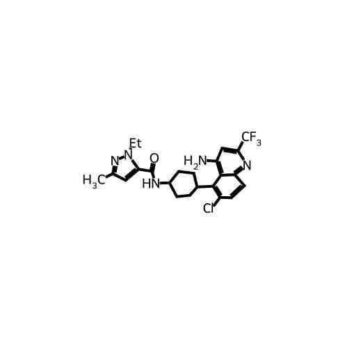 CCn1nc(C)cc1C(=O)NC1CCC(c2c(Cl)ccc3nc(C(F)(F)F)cc(N)c23)CC1